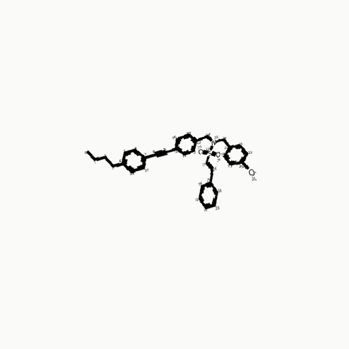 CCCCc1ccc(C#Cc2ccc(CN(Cc3ccc([O])cc3)S(=O)(=O)/C=C/c3ccccc3)cc2)cc1